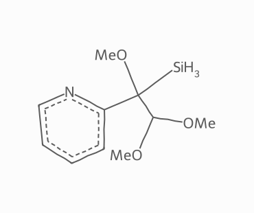 COC(OC)C([SiH3])(OC)c1ccccn1